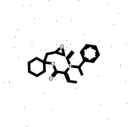 C=CN(/C(=C\C)C(=O)OC1(CC2CO2)CCCCC1)C(C)c1ccccc1